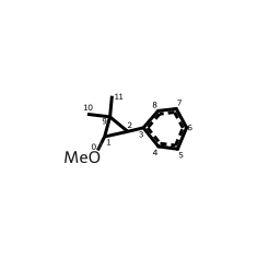 COC1C(c2ccccc2)C1(C)C